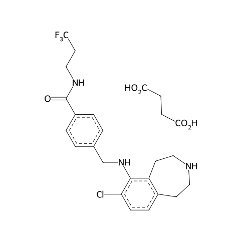 O=C(NCCC(F)(F)F)c1ccc(CNc2c(Cl)ccc3c2CCNCC3)cc1.O=C(O)CCC(=O)O